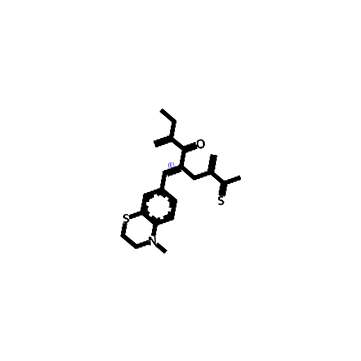 C=C(CC)C(=O)/C(=C/c1ccc2c(c1)SCCN2C)CC(=C)C(C)=S